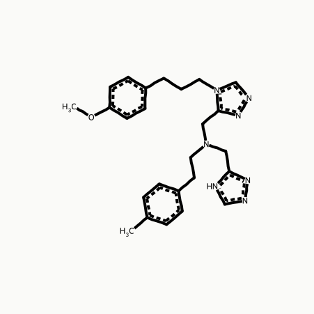 COc1ccc(CCCn2cnnc2CN(CCc2ccc(C)cc2)Cc2nnc[nH]2)cc1